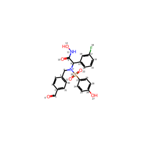 O=Cc1ccc(CN(C(C(=O)NO)c2cccc(F)c2)S(=O)(=O)c2ccc(O)cc2)cc1